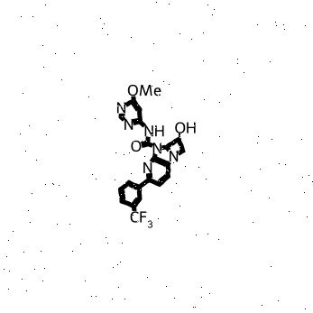 COc1cc(NC(=O)N2c3nc(-c4cccc(C(F)(F)F)c4)ccc3N3C[C@@H](O)C32)ncn1